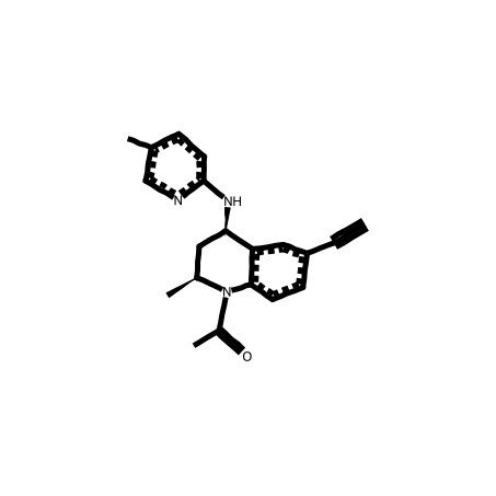 C#Cc1ccc2c(c1)[C@H](Nc1ccc(C)cn1)C[C@H](C)N2C(C)=O